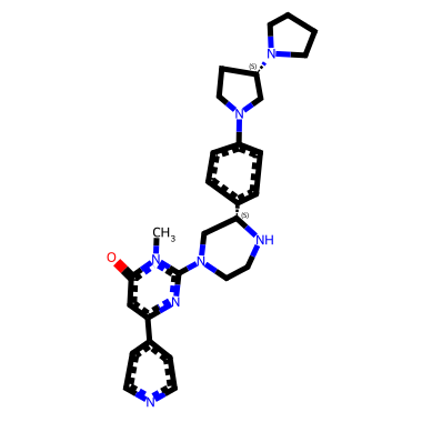 Cn1c(N2CCN[C@@H](c3ccc(N4CC[C@H](N5CCCC5)C4)cc3)C2)nc(-c2ccncc2)cc1=O